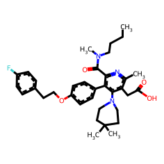 CCCCN(C)C(=O)c1nc(C)c(CC(=O)O)c(N2CCC(C)(C)CC2)c1-c1ccc(OCCc2ccc(F)cc2)cc1